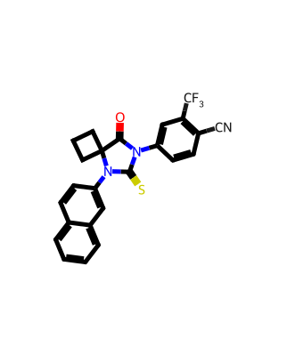 N#Cc1ccc(N2C(=O)C3(CCC3)N(c3ccc4ccccc4c3)C2=S)cc1C(F)(F)F